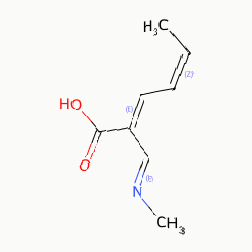 C\C=C/C=C(\C=N\C)C(=O)O